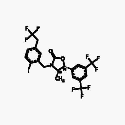 C[C@H]1[C@@H](c2cc(C(F)(F)F)cc(C(F)(F)F)c2)OC(=O)N1Cc1cc(CC(F)(F)F)ccc1I